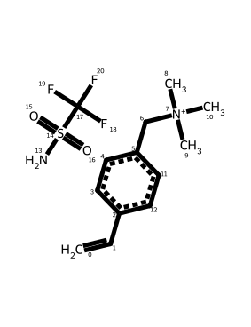 C=Cc1ccc(C[N+](C)(C)C)cc1.NS(=O)(=O)C(F)(F)F